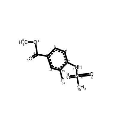 COC(=O)c1ccc(NS(C)(=O)=O)c(F)c1